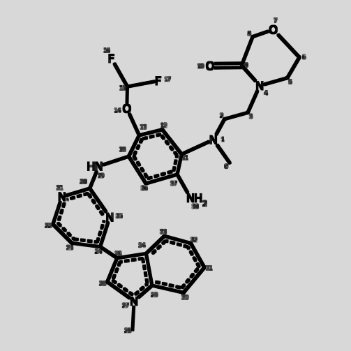 CN(CCN1CCOCC1=O)c1cc(OC(F)F)c(Nc2nccc(-c3cn(C)c4ccccc34)n2)cc1N